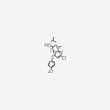 COc1ccc(Sc2cc(Cl)nc(N(C)[C@@H](CC(C)C)C(=O)O)n2)cc1